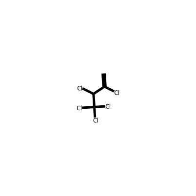 C=C(Cl)C(Cl)C(Cl)(Cl)Cl